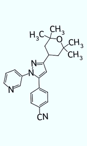 CC1(C)CC(c2cc(-c3ccc(C#N)cc3)n(-c3cccnc3)n2)CC(C)(C)O1